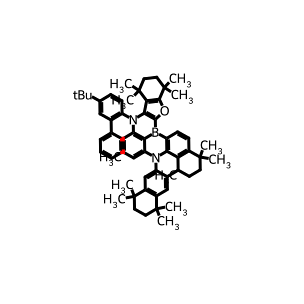 Cc1cc2c3c(c1)N1c4cc5c(cc4C4(C)CCC(C)(C)c6ccc(c1c64)B3c1oc3c(c1N2c1ccc(C(C)(C)C)cc1-c1ccccc1)C(C)(C)CCC3(C)C)C(C)(C)CCC5(C)C